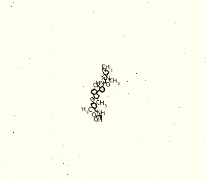 Cc1cc(OC2CCc3c(-c4cccc(NC(=O)c5nc6c(n5C)CCN(C)C6)c4Cl)cccc32)c(C)cc1CNC1(C(=O)O)CC1